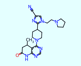 CC1CC(=O)Nc2ncnc(N3CCC(c4nc(C#N)cn4CCN4CCCC4)CC3)c21